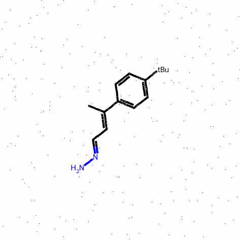 CC(=CC=NN)c1ccc(C(C)(C)C)cc1